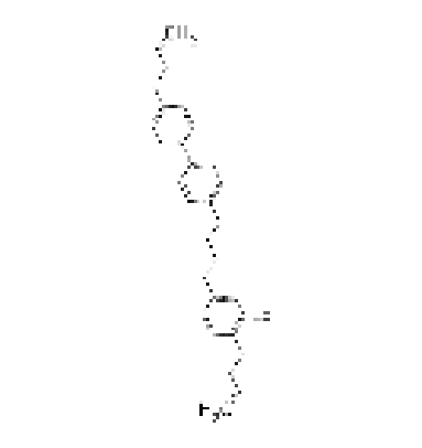 C=CCCc1ccc(-c2ccc(CCCCc3ccc(CCC=C)c(F)c3)cc2)cc1